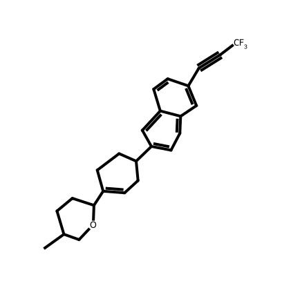 CC1CCC(C2=CCC(c3ccc4cc(C#CC(F)(F)F)ccc4c3)CC2)OC1